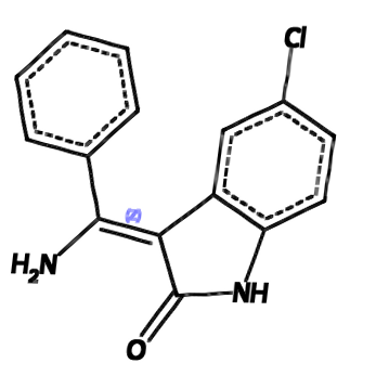 N/C(=C1\C(=O)Nc2ccc(Cl)cc21)c1ccccc1